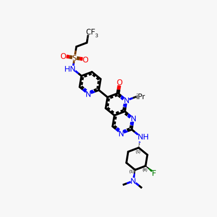 CC(C)n1c(=O)c(-c2ccc(NS(=O)(=O)CCC(F)(F)F)cn2)cc2cnc(N[C@H]3CC[C@H](N(C)C)[C@H](F)C3)nc21